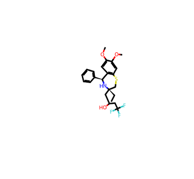 CC[C@]1(CC(O)CC(F)(F)F)CSc2cc(OC)c(OC)cc2[C@H](c2ccccc2)N1